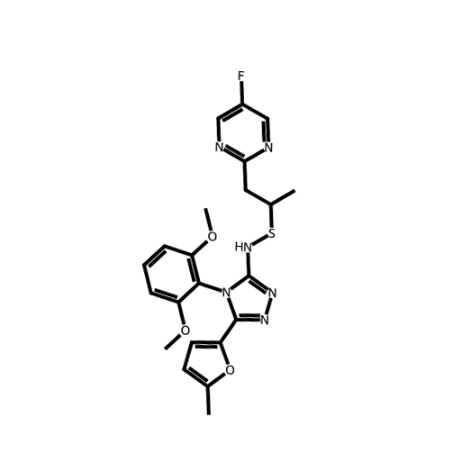 COc1cccc(OC)c1-n1c(NSC(C)Cc2ncc(F)cn2)nnc1-c1ccc(C)o1